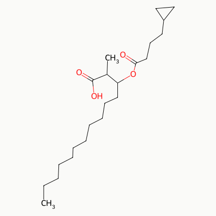 CCCCCCCCCCCC(OC(=O)CCCC1CC1)C(C)C(=O)O